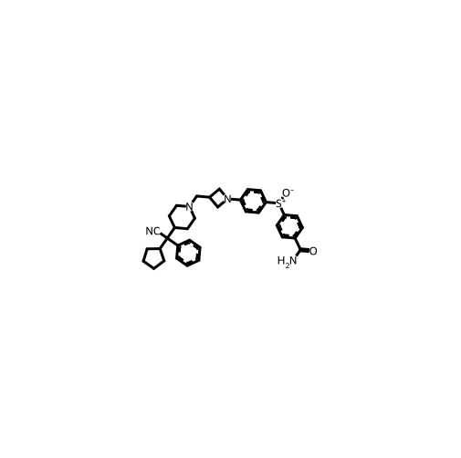 N#CC(c1ccccc1)(C1CCCC1)C1CCN(CC2CN(c3ccc([S+]([O-])c4ccc(C(N)=O)cc4)cc3)C2)CC1